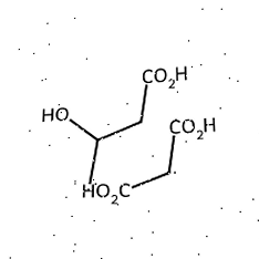 O=C(O)[CH]C(=O)O.[CH2]C(O)CC(=O)O